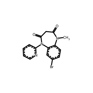 CN1C(=O)CC(=O)N(c2ccccn2)c2cc(Br)ccc21